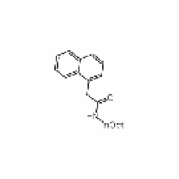 CCCCCCCCNC(=O)Cc1cccc2ccccc12